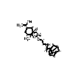 C=C(C)[C@H]1CC[C@@]2(C)O[P@](=S)(OCCNC(=O)C34CC5CC(CC(C5)C3)C4)S[C@@H]2C1